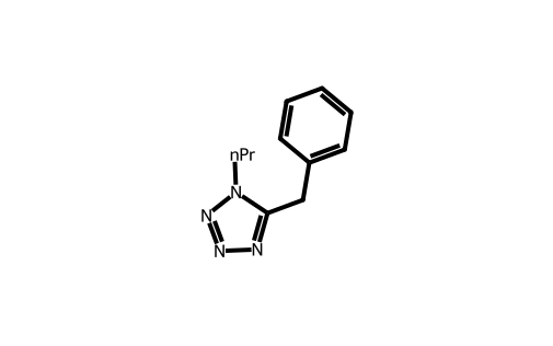 CCCn1nnnc1Cc1ccccc1